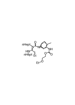 CCCCCCCNC(SCC)=[N+](CCCCCCC)C(=O)Nc1ccc(C)c(NC(=O)OCCOCC)c1